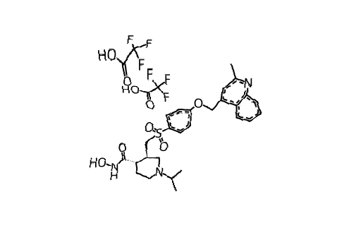 Cc1cc(COc2ccc(S(=O)(=O)C[C@H]3CN(C(C)C)CC[C@@H]3C(=O)NO)cc2)c2ccccc2n1.O=C(O)C(F)(F)F.O=C(O)C(F)(F)F